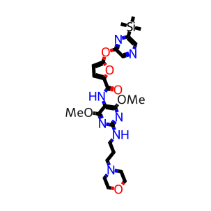 COc1nc(NCCCN2CCOCC2)nc(OC)c1NC(=O)c1ccc(Oc2cncc([Si](C)(C)C)n2)o1